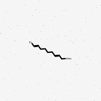 [CH2]CCCCCCC=CCCCCC=CCC